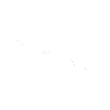 CC(C)(C)NCCCC(=O)NCCOCCOCC(=O)NCCOCCOCC(=O)C(C)(C)C